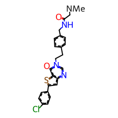 CNCC(=O)NCc1ccc(CCn2cnc3cc(-c4ccc(Cl)cc4)sc3c2=O)cc1